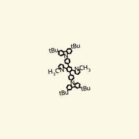 Cc1cccc(-c2cc(-c3ccc(-n4c5ccc(C(C)(C)C)cc5c5cc(C(C)(C)C)ccc54)cc3)c(-c3cccc(C)n3)cc2-c2ccc(-n3c4ccc(C(C)(C)C)cc4c4cc(C(C)(C)C)ccc43)cc2)n1